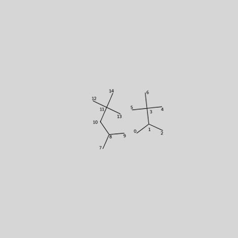 CC(C)C(C)(C)C.CC(C)CC(C)(C)C